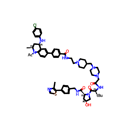 CC(=O)N1c2ccc(-c3ccc(C(=O)NCCN4CCC(CN5CCN(CC(=O)N[C@H](C(=O)N6C[C@H](O)C[C@H]6C(=O)NCc6ccc(-c7scnc7C)cc6)C(C)(C)C)CC5)CC4)cc3)cc2[C@H](Nc2ccc(Cl)cc2)C[C@@H]1C